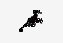 CCN(CC)C(=O)C[C@@H]1O[C@@H](c2cccc(OCCCNCCCc3ccccc3)c2OC)c2cc(Cl)ccc2N(CC(C)(C)C)C1=O.Cl